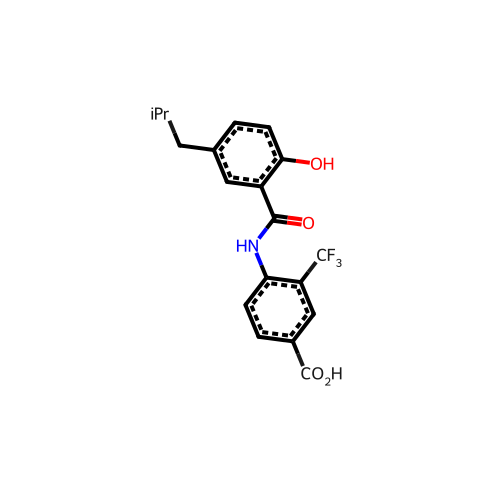 CC(C)Cc1ccc(O)c(C(=O)Nc2ccc(C(=O)O)cc2C(F)(F)F)c1